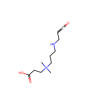 C[N+](C)(CCCNCC=C=O)CCC(=O)O